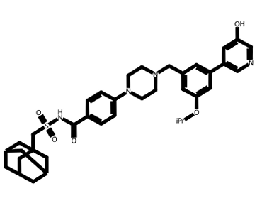 CC(C)Oc1cc(CN2CCN(c3ccc(C(=O)NS(=O)(=O)CC45CC6CC(CC(C6)C4)C5)cc3)CC2)cc(-c2cncc(O)c2)c1